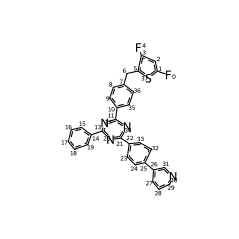 Fc1cc(F)c(Cc2ccc(-c3nc(-c4ccccc4)nc(-c4ccc(-c5cccnc5)cc4)n3)cc2)s1